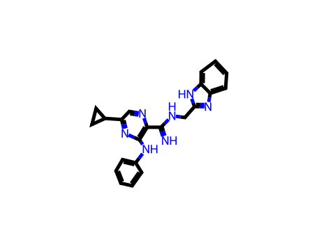 N=C(NCc1nc2ccccc2[nH]1)c1ncc(C2CC2)nc1Nc1ccccc1